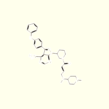 CN1CCC(N(C)C/C=C/C(=O)N2CCCC(n3nc(-c4ccc(Oc5ccccc5)cc4)c4c(N)ncnc43)C2)CC1